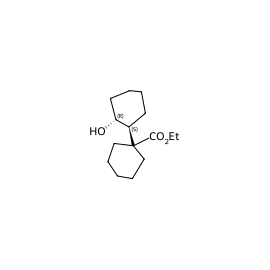 CCOC(=O)C1([C@@H]2CCCC[C@H]2O)CCCCC1